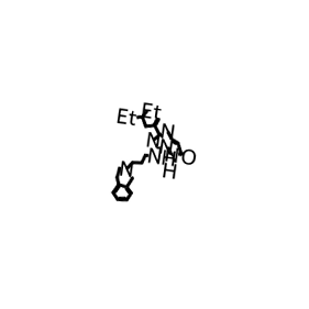 C=C(CC(CC)CC)c1nc(NCCCN2CCc3ccccc3C2)n2[nH]c(=O)cc2n1